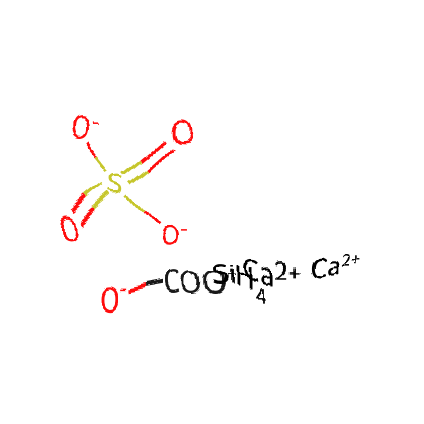 O=C([O-])[O-].O=S(=O)([O-])[O-].[Ca+2].[Ca+2].[SiH4]